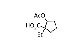 CCC1(C(=O)O)CCCC1OC(C)=O